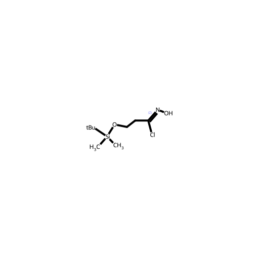 CC(C)(C)[Si](C)(C)OCC/C(Cl)=N/O